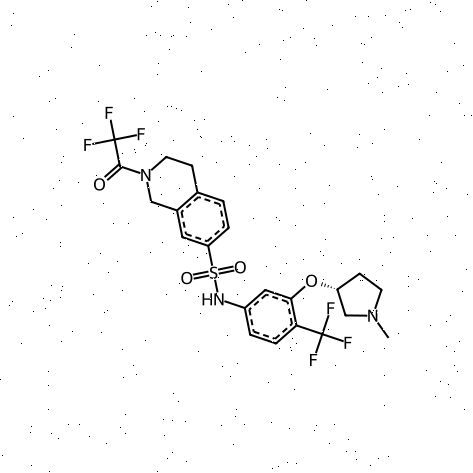 CN1CC[C@@H](Oc2cc(NS(=O)(=O)c3ccc4c(c3)CN(C(=O)C(F)(F)F)CC4)ccc2C(F)(F)F)C1